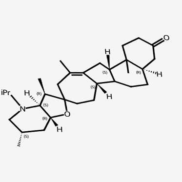 CC1=C2C[C@H]3C(CC[C@@H]4CC(=O)CCC43C)[C@@H]2CCC2(C1)O[C@@H]1C[C@H](C)CN(C(C)C)[C@H]1[C@H]2C